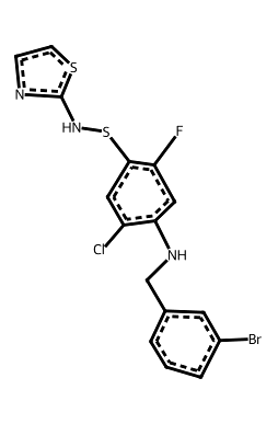 Fc1cc(NCc2cccc(Br)c2)c(Cl)cc1SNc1nccs1